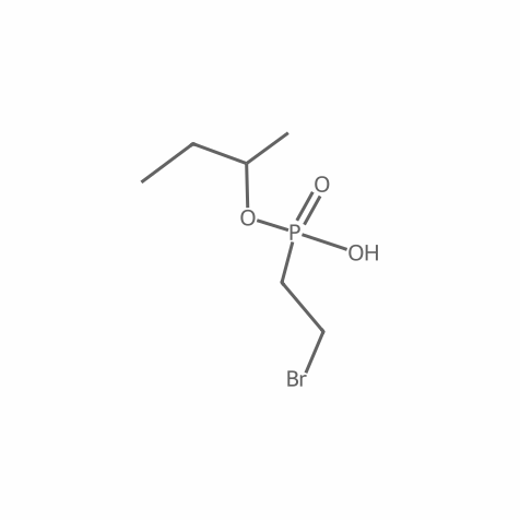 CCC(C)OP(=O)(O)CCBr